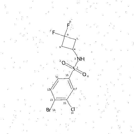 O=S(=O)(NC1CC(F)(F)C1)c1ccc(Br)c(Cl)c1